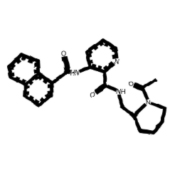 CC(=O)N1CCCCC1CNC(=O)c1ncccc1NC(=O)c1cccc2ccccc12